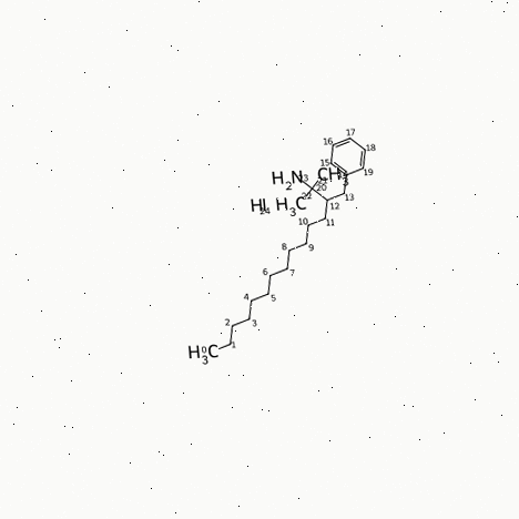 CCCCCCCCCCCCC(Cc1ccccc1)C(C)(C)N.I